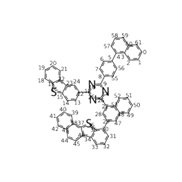 c1ccc2c(-c3ccc(-c4nc(-c5ccc6sc7ccccc7c6c5)nc(-c5cc(-c6cccc7c6sc6c8ccccc8ccc76)cc6ccccc56)n4)cc3)cccc2c1